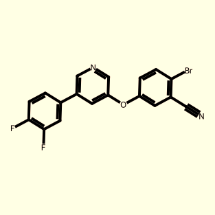 N#Cc1cc(Oc2cncc(-c3ccc(F)c(F)c3)c2)ccc1Br